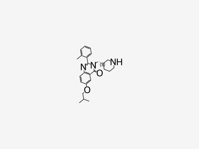 Cc1ccccc1-c1nc2ccc(OCC(C)C)cc2c(=O)n1C[C@H]1CCCNC1